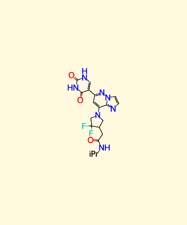 CC(C)NC(=O)CC1CN(c2cc(-c3c[nH]c(=O)[nH]c3=O)nn3ccnc23)CC1(F)F